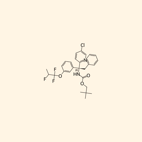 CC(F)C(F)(F)Oc1cccc([C@@](Cc2ccccc2)(NC(=O)OCC(C)(C)C)c2ccc(Cl)cn2)c1